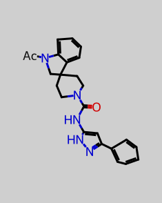 CC(=O)N1CC2(CCN(C(=O)Nc3cc(-c4ccccc4)n[nH]3)CC2)c2ccccc21